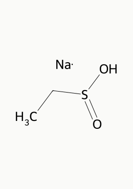 CCS(=O)O.[Na]